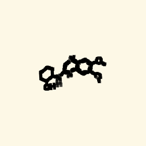 COc1cc2ncc(NC3CCCCC3O)nc2cc1OC